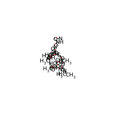 C/C1=C/C=C/C(C)[C@H](O)[C@@H](C)C(O)[C@@H](C)[C@H](OC(=O)CC(=O)N2CCC(Nc3ccccc3C#N)CC2)CC/C=C/O[C@@]2(C)Oc3c(C)c(O)c4c(c3C2=O)C2=NC3(CCN(CC(C)C)CC3)NC2=C(NC1=O)C4=O